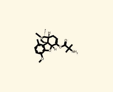 COc1ccc(C)c2c1O[C@H]1C(OC(=O)C(C)(C)N)=CC[C@H]3[C@@H](C)N(C)CC[C@]213